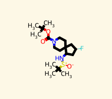 CC(C)(C)OC(=O)N1CCC2(CC1)C[C@H](F)CC2N[S@+]([O-])C(C)(C)C